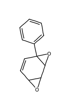 C1=CC2(c3ccccc3)OC2C2OC12